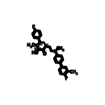 CO[C@H](C[C@H](CCN(C)c1ccc(-c2ccc(F)c(C)c2)cc1)C(=O)NO)c1ccc(F)cc1